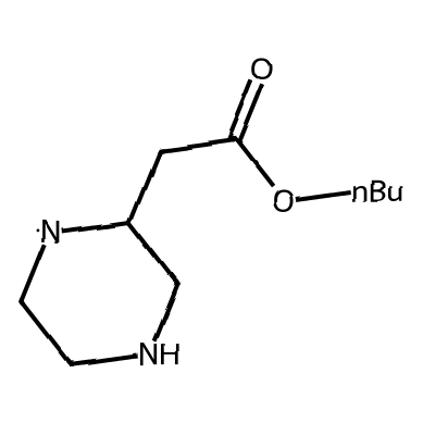 CCCCOC(=O)CC1CNCC[N]1